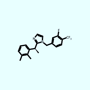 Cc1cccc([C@H](C)c2nccn2Cc2ccc(C(F)(F)F)c(F)c2)c1C